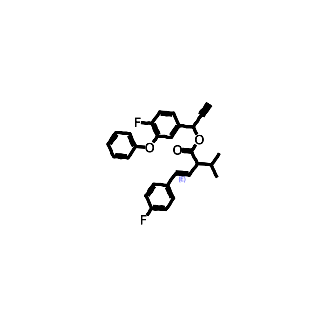 C#CC(OC(=O)C(/C=C/c1ccc(F)cc1)C(C)C)c1ccc(F)c(Oc2ccccc2)c1